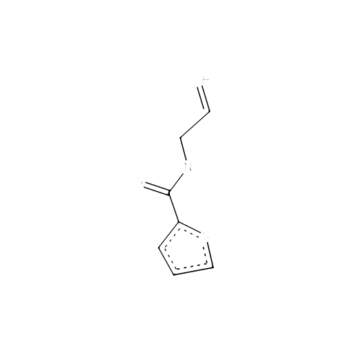 C=CC[N]C(=O)c1cccs1